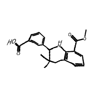 COC(=O)c1cccc2c1NC(c1cccc(C(=O)O)c1)C(C)(C)C2